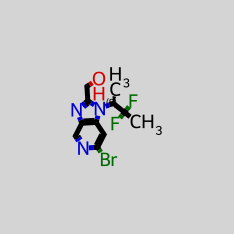 C[C@H](n1c(CO)nc2cnc(Br)cc21)C(C)(F)F